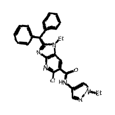 CCn1cc(NC(=O)c2cc3c(nc2Cl)nc(C(c2ccccc2)c2ccccc2)n3CC)cn1